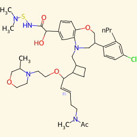 CCCc1cc(Cl)ccc1C1COc2ccc(C(O)C(=O)NSN(C)C)cc2N(CC2CCC2C(/C=C/CCN(C)C(C)=O)OCCN2CCOCC2C)C1